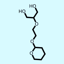 OCC(CO)OCCOC1CCCCO1